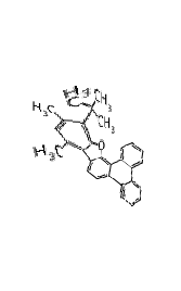 Cc1cc(C)c2c(oc3c2ccc2c4ccccc4c4ccccc4c23)c1C(C)(C)C